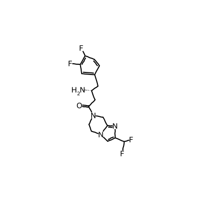 N[C@@H](CC(=O)N1CCn2cc(C(F)F)nc2C1)Cc1ccc(F)c(F)c1